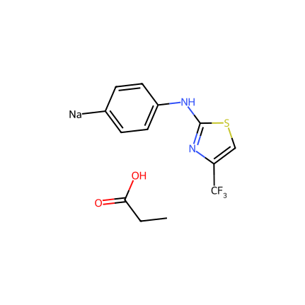 CCC(=O)O.FC(F)(F)c1csc(Nc2cc[c]([Na])cc2)n1